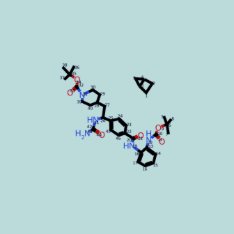 C1CC2CC12.CC(C)(C)OC(=O)Nc1ccccc1NC(=O)c1ccc(C(CC2CCN(C(=O)OC(C)(C)C)CC2)NC(N)=O)cc1